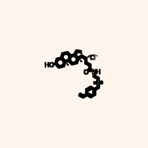 C=Cc1ccc(C[N+](C)(C)CCNC(=O)CC[C@@H](C)[C@H]2CCC3C4CCC5C[C@H](O)CC[C@]5(C)C4CC[C@@]32C)cc1.[Cl-]